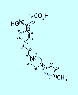 Cc1ccc(N2CCN(CCCc3ccc(/C(CCC(=O)O)=N\O)cc3)CC2)cc1